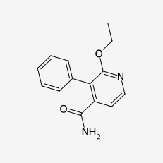 CCOc1nccc(C(N)=O)c1-c1ccccc1